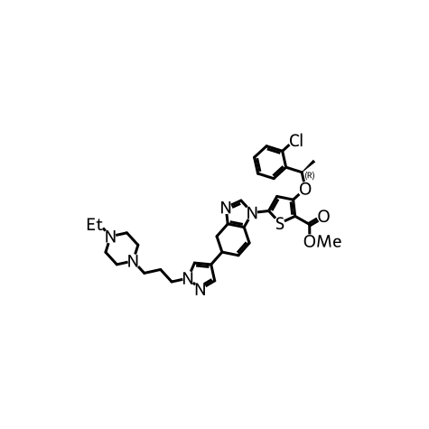 CCN1CCN(CCCn2cc(C3C=Cc4c(ncn4-c4cc(O[C@H](C)c5ccccc5Cl)c(C(=O)OC)s4)C3)cn2)CC1